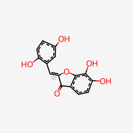 O=C1/C(=C/c2cc(O)ccc2O)Oc2c1ccc(O)c2O